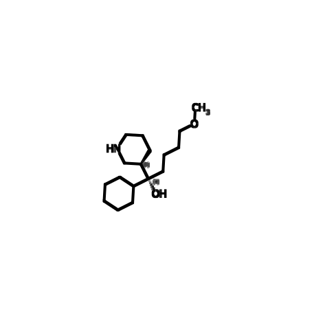 COCCCC[C@@](O)(C1CCCCC1)[C@@H]1CCCNC1